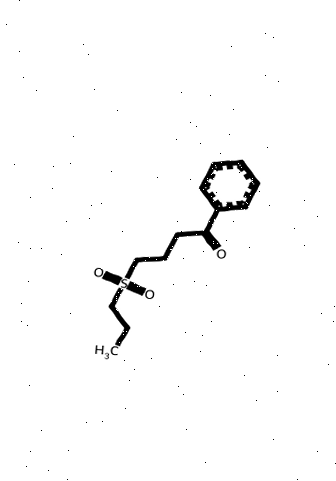 CCCS(=O)(=O)CCCC(=O)c1ccccc1